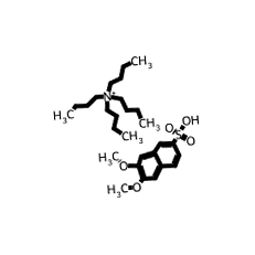 CCCC[N+](CCCC)(CCCC)CCCC.COc1cc2ccc(S(=O)(=O)O)cc2cc1OC